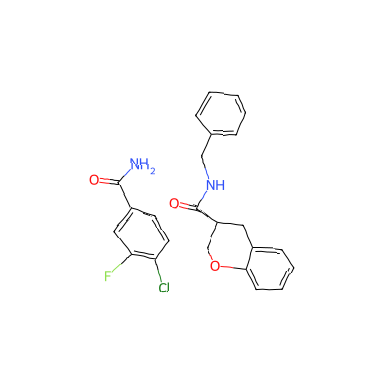 NC(=O)c1ccc(Cl)c(F)c1.O=C(NCc1ccccc1)C1COc2ccccc2C1